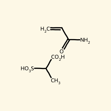 C=CC(N)=O.CC(C(=O)O)S(=O)(=O)O